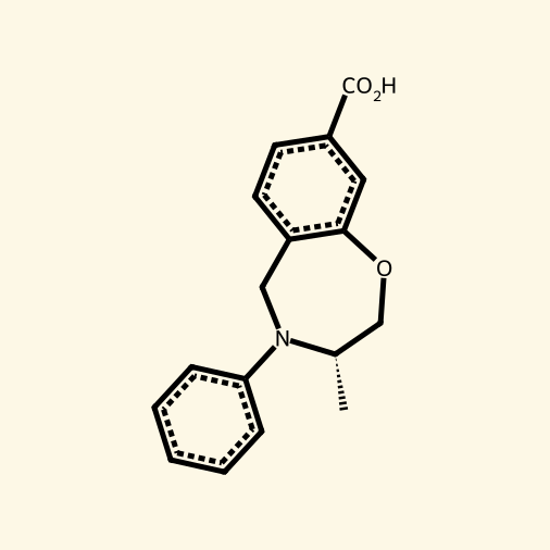 C[C@H]1COc2cc(C(=O)O)ccc2CN1c1ccccc1